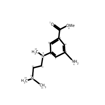 COC(=O)c1cc(N)cc(N(C)CCN(C)C)c1